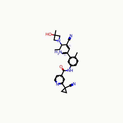 CCC(/C(C#N)=C\C(=C/N)c1cc(NC(=O)c2ccnc(C3(C#N)CC3)c2)ccc1C)N1CC(C)(O)C1